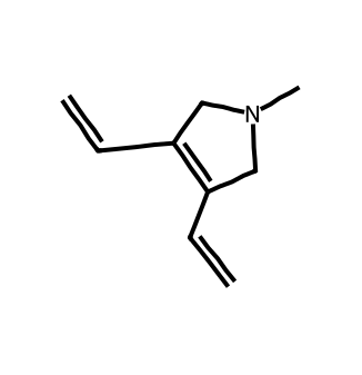 C=CC1=C(C=C)CN(C)C1